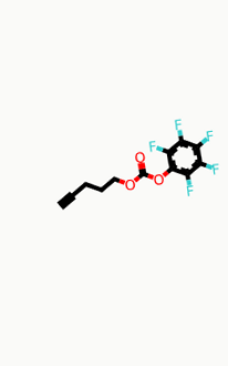 C#CCCCOC(=O)Oc1c(F)c(F)c(F)c(F)c1F